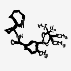 Cc1ccc(C(=O)NC2(c3ccccn3)CC2)cc1B1OC(C)(C)C(C)(C)O1